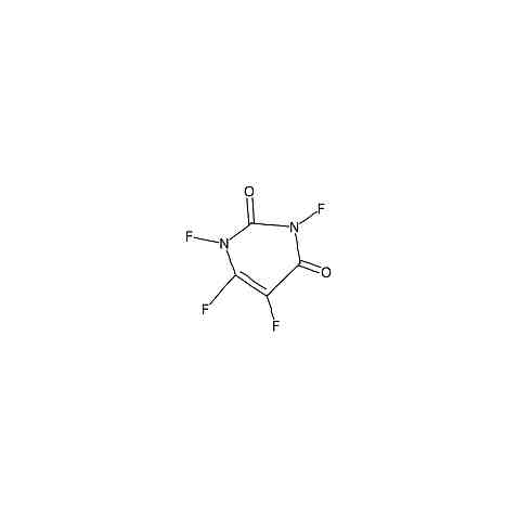 O=c1c(F)c(F)n(F)c(=O)n1F